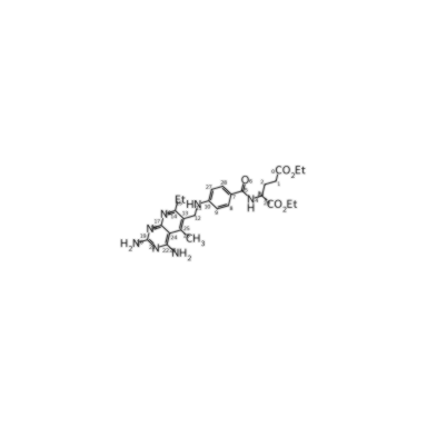 CCOC(=O)CC[C@H](NC(=O)c1ccc(NCc2c(CC)nc3nc(N)nc(N)c3c2C)cc1)C(=O)OCC